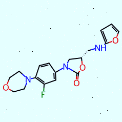 O=C1O[C@@H](CNc2ccco2)CN1c1ccc(N2CCOCC2)c(F)c1